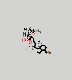 C[C@H](CCC[C@@](C)(O[Si](C)(C)C)C(=O)O)[C@H]1CCC2C(=CBr)CCC[C@]21C